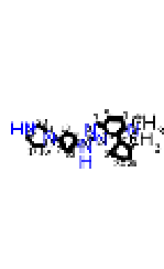 CN(C)c1ccc2cnc(Nc3ccc(N4CCCNCC4)cc3)nc2c1C1CCCC1